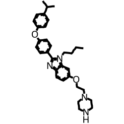 CCCCn1c(-c2ccc(Oc3ccc(C(C)C)cc3)cc2)nc2ccc(OCCN3CCNCC3)cc21